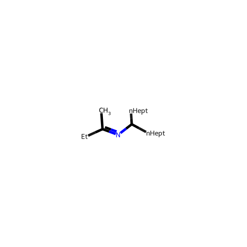 CCCCCCCC(CCCCCCC)N=C(C)CC